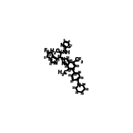 C=C(Nc1nccs1)C(c1ncn2c1C[C@@H](F)C2)n1cc2c(C(F)(F)F)cc(-c3ccc(N4CCCCC4)cc3)c(C)c2n1